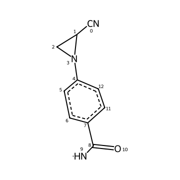 N#CC1CN1c1ccc(C([NH])=O)cc1